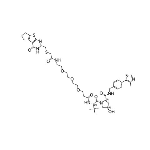 Cc1ncsc1-c1ccc(CNC(=O)[C@@H]2C[C@@H](O)CN2C(=O)[C@@H](NC(=O)CCOCCOCCOCCNC(=O)CSCc2nc3sc4c(c3c(=O)[nH]2)CCC4)C(C)(C)C)cc1